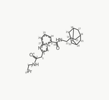 CC(C)CNC(=O)Cc1cn2c(C(=O)NCC34CC5CC(CC(C5)C3)C4)cccc2n1